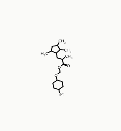 CC(CC1C(C)CC(C)C1C)C(=O)OCOC1CCC(C(C)C)CC1